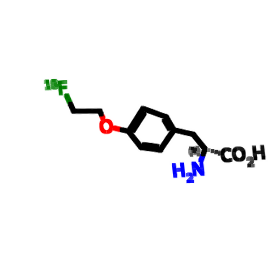 N[C@H](Cc1ccc(OCC[18F])cc1)C(=O)O